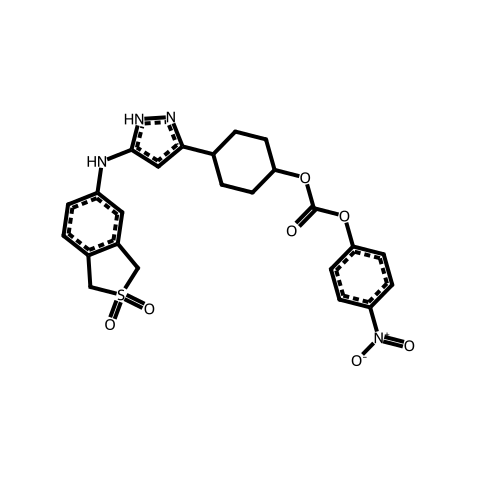 O=C(Oc1ccc([N+](=O)[O-])cc1)OC1CCC(c2cc(Nc3ccc4c(c3)CS(=O)(=O)C4)[nH]n2)CC1